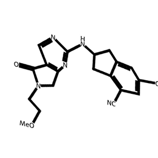 COCCN1Cc2nc(NC3Cc4cc(Cl)cc(C#N)c4C3)ncc2C1=O